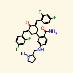 CCN1CCCC1CNc1ccc(C(N)=O)c(C2C/C(=C\c3ccc(F)cc3F)C(=O)/C(=C/c3ccc(F)cc3F)C2)c1